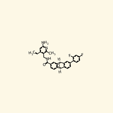 C=Cc1cc(N)nc(C)c1CNC(=O)c1ccc2c(c1)[C@@H]1O[C@H]2c2ccc(-c3ccc(F)cc3F)cc21